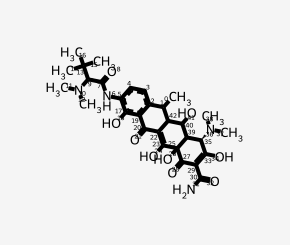 CC1c2ccc(NC(=O)C(N(C)C)C(C)(C)C)c(O)c2C(=O)C2=C(O)C3(O)C(=O)C(C(N)=O)=C(O)[C@@H](N(C)C)C3C(O)C21